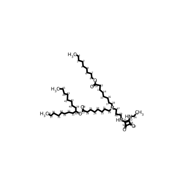 CCCCCCCCCOC(=O)CCCCCCCN(CCCCCCCC(=O)OC(CCCCCCCC)CCCCCCCC)CCCNc1c(NCC)c(=O)c1=O